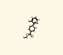 CCOC(=O)C1CCN(c2ncccc2C)CC1